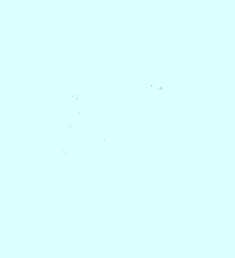 CCCCCCCCOC(=O)CC(C(=O)OCCCCCCCC)S(=O)(=O)O.NC(=O)NC(N)=O.[C]=O.[NaH]